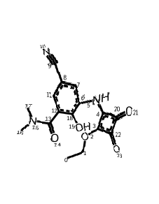 CCOc1c(Nc2cc(C#N)cc(C(=O)N(C)C)c2O)c(=O)c1=O